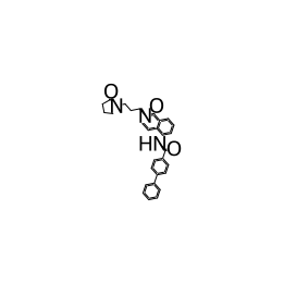 O=C(Nc1cccc2c(=O)n(CCCN3CCCC3=O)ccc12)c1ccc(-c2ccccc2)cc1